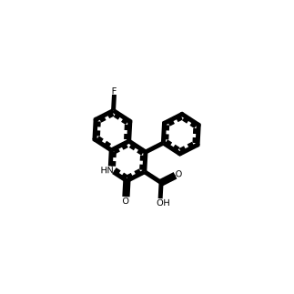 O=C(O)c1c(-c2ccccc2)c2cc(F)ccc2[nH]c1=O